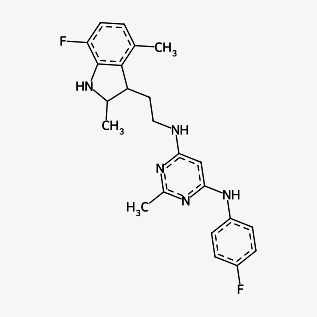 Cc1nc(NCCC2c3c(C)ccc(F)c3NC2C)cc(Nc2ccc(F)cc2)n1